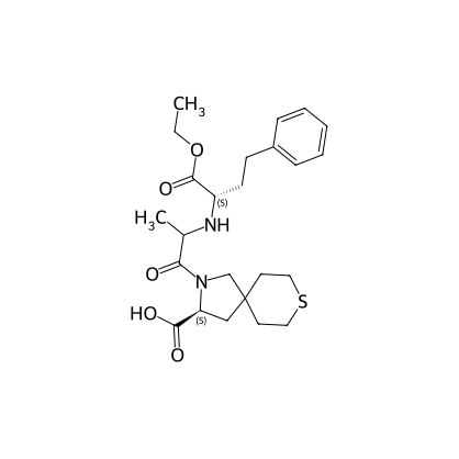 CCOC(=O)[C@H](CCc1ccccc1)NC(C)C(=O)N1CC2(CCSCC2)C[C@H]1C(=O)O